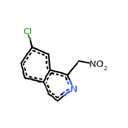 O=[N+]([O-])Cc1nccc2ccc(Cl)cc12